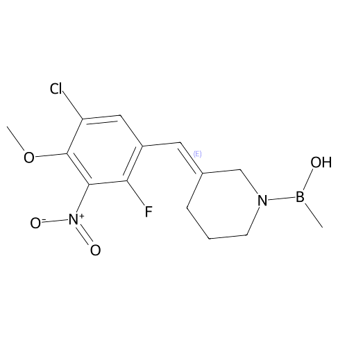 COc1c(Cl)cc(/C=C2\CCCN(B(C)O)C2)c(F)c1[N+](=O)[O-]